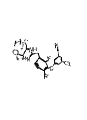 CC1NC(Cc2ccc(Br)c(Oc3cc(Cl)cc(C#N)c3)c2F)=NNC1=O